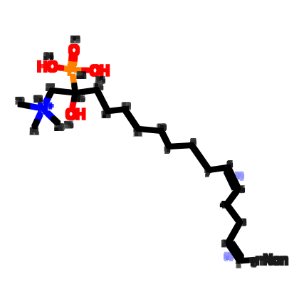 CCCCCCCCC/C=C\CC/C=C\CCCCCCCCC(O)(C[N+](C)(C)C)P(=O)(O)O